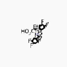 CCC(C(=O)O)n1/c(=N/C(=O)c2cc(F)c(F)cc2F)sc2cc(F)c(F)cc21